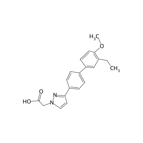 CCc1cc(-c2ccc(-c3ccn(CC(=O)O)n3)cc2)ccc1OC